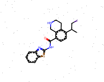 [CH2]C(CI)c1ccc(C(=O)Nc2nc3ccccc3s2)c2c1CCNC2